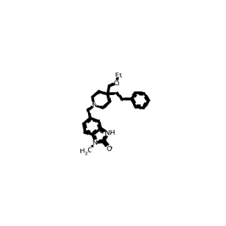 CCOCC1(CCc2ccccc2)CCN(Cc2ccc3c(c2)[nH]c(=O)n3C)CC1